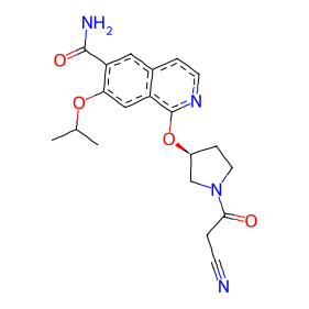 CC(C)Oc1cc2c(O[C@H]3CCN(C(=O)CC#N)C3)nccc2cc1C(N)=O